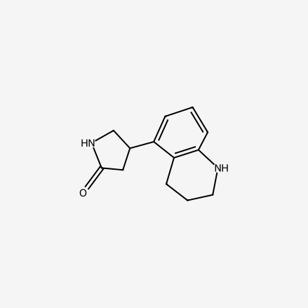 O=C1CC(c2cccc3c2CCCN3)CN1